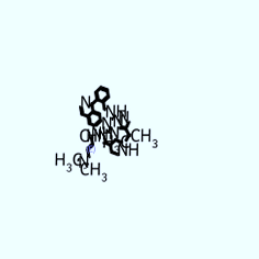 CC(C)c1cnn2c(NCc3ccccc3-c3nccc4cc(NC(=O)/C=C/CN(C)C)ccc34)nc(NCC3CCNCC3)nc12